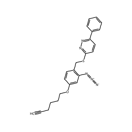 C#CCCCCOc1ccc(CSc2ccc(-c3ccccc3)nn2)c(N=[N+]=[N-])c1